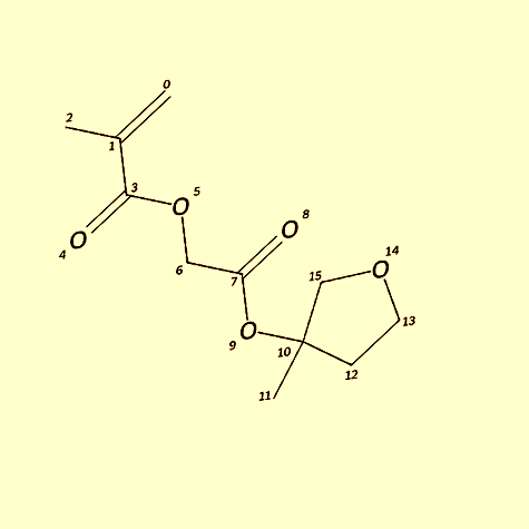 C=C(C)C(=O)OCC(=O)OC1(C)CCOC1